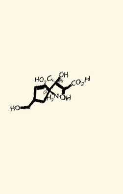 N[C@]1([C@](O)(C(=O)O)C(O)C(=O)O)C=CC(CO)C1